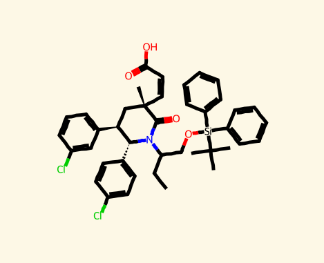 CCC(CO[Si](c1ccccc1)(c1ccccc1)C(C)(C)C)N1C(=O)[C@@](C)(C=CC(=O)O)C[C@H](c2cccc(Cl)c2)[C@H]1c1ccc(Cl)cc1